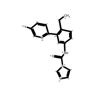 CCc1ccc(NC(=O)n2ccnc2)cc1-c1ccc(F)cn1